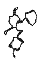 O=C1C=CC(=O)C(c2ccccc2)=C1Cc1ccc(Br)cc1